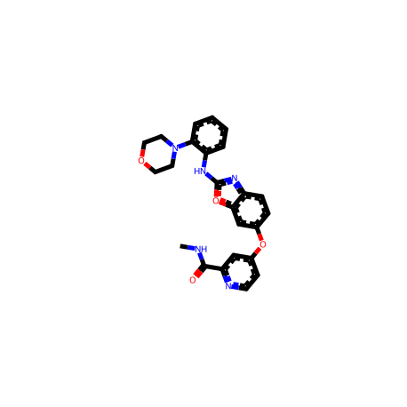 CNC(=O)c1cc(Oc2ccc3nc(Nc4ccccc4N4CCOCC4)oc3c2)ccn1